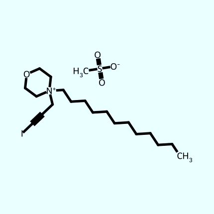 CCCCCCCCCCCC[N+]1(CC#CI)CCOCC1.CS(=O)(=O)[O-]